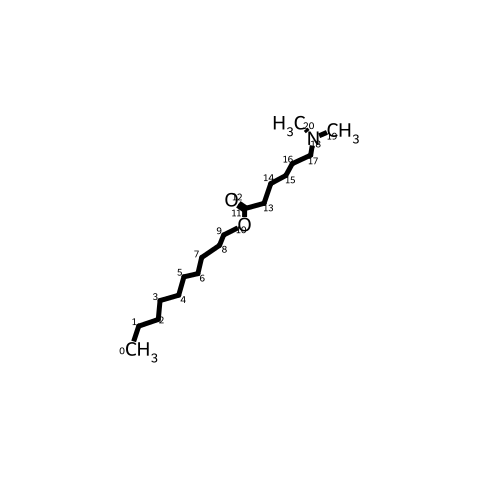 CCCCCCCCCCOC(=O)CCCCCN(C)C